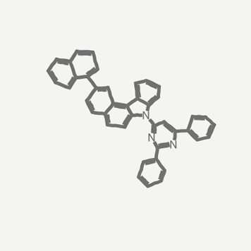 c1ccc(-c2cc(-n3c4ccccc4c4c5cc(-c6cccc7ccccc67)ccc5ccc43)nc(-c3ccccc3)n2)cc1